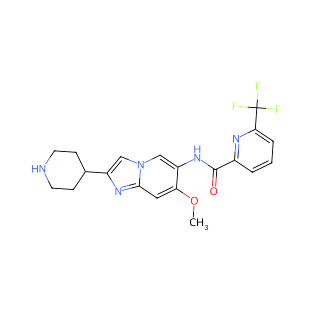 COc1cc2nc(C3CCNCC3)cn2cc1NC(=O)c1cccc(C(F)(F)F)n1